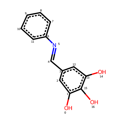 Oc1cc(/C=N/c2ccccc2)cc(O)c1O